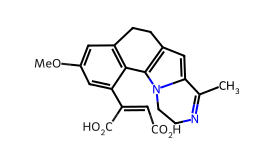 COc1cc2c(c(C(=CC(=O)O)C(=O)O)c1)-c1c(cc3n1CCN=C3C)CC2